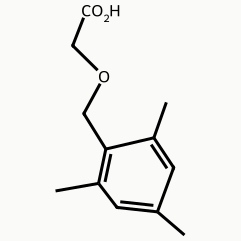 Cc1cc(C)c(COCC(=O)O)c(C)c1